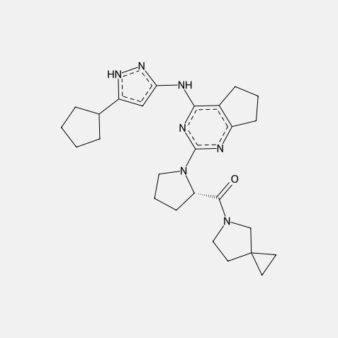 O=C([C@@H]1CCCN1c1nc2c(c(Nc3cc(C4CCCC4)[nH]n3)n1)CCC2)N1CCC2(CC2)C1